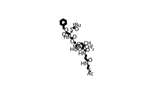 CC(=O)SCCNC(=O)CCNC(=O)[C@@H]1O[PH](O)(OCOC(=O)N[C@@H](CSC(=O)C(C)(C)C)C(=O)OCc2ccccc2)OCC1(C)C